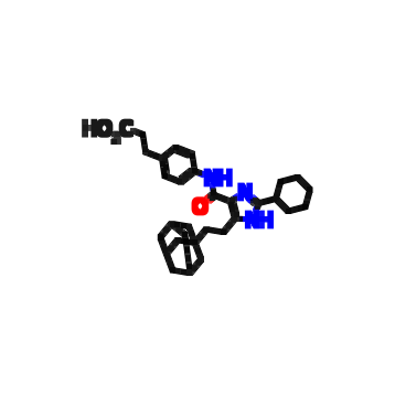 O=C(O)CCc1ccc(NC(=O)c2nc(C3CCCCC3)[nH]c2CCC23CC4CC(CC(C4)C2)C3)cc1